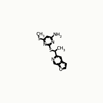 CSc1cc(N)nc(SC(C)c2cc3ccoc3cn2)n1